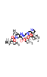 CCOC(=O)c1c2c(nn1CCN(Cc1ccccn1)C(=O)OC(C)(C)C)C[C@@H](C)N(C(=O)OC(C)(C)C)C2